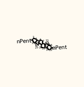 CCCCCc1ccc2c3ccc4c(ccc5c6ccc(CCCCC)cc6n(C)c54)c3n(C)c2c1